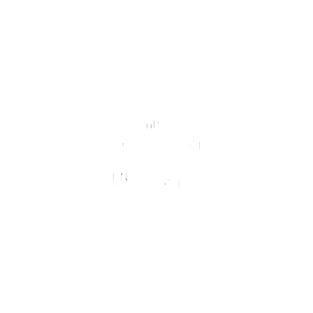 CCCC(O)C(C)C(N)=O